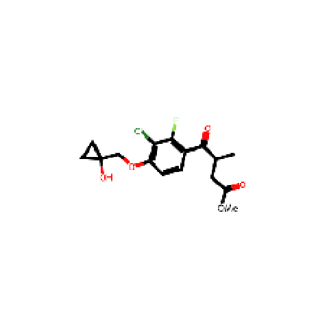 COC(=O)CC(C)C(=O)c1ccc(OCC2(O)CC2)c(Cl)c1F